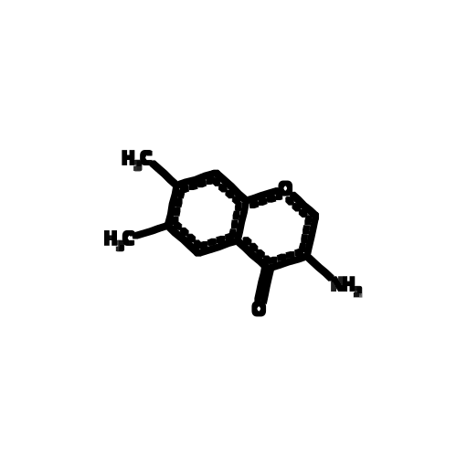 Cc1cc2occ(N)c(=O)c2cc1C